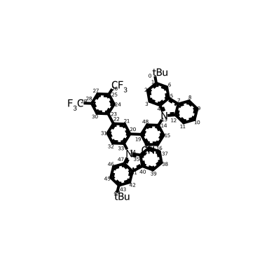 CC(C)(C)c1ccc2c(c1)c1ccccc1n2-c1ccc(C#N)c(-c2cc(-c3cc(C(F)(F)F)cc(C(F)(F)F)c3)ccc2-n2c3ccccc3c3cc(C(C)(C)C)ccc32)c1